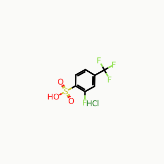 Cl.O=S(=O)(O)c1ccc(C(F)(F)F)cc1F